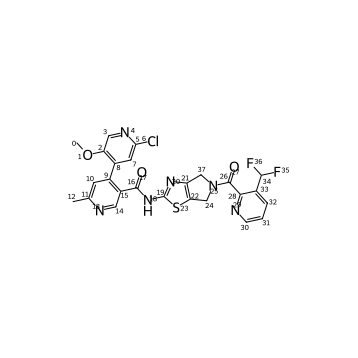 COc1cnc(Cl)cc1-c1cc(C)ncc1C(=O)Nc1nc2c(s1)CN(C(=O)c1ncccc1C(F)F)C2